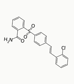 NC(=O)c1ccccc1S(=O)(=O)c1ccc(C=Cc2ccccc2Cl)cc1